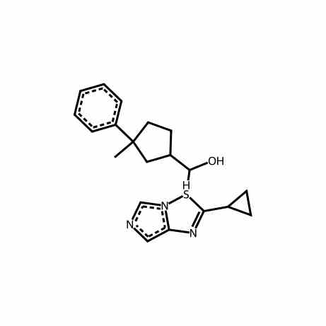 CC1(c2ccccc2)CCC(C(O)[SH]2C(C3CC3)=Nc3cncn32)C1